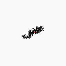 Cc1oc(N2CCC(CN3CCC3)C2)nc1C(=O)Nc1ccc(N2CCCCC2)c(F)c1